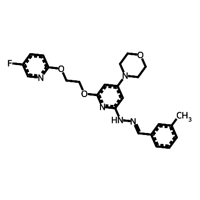 Cc1cccc(C=NNc2cc(N3CCOCC3)cc(OCCOc3ccc(F)cn3)n2)c1